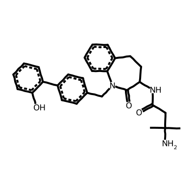 CC(C)(N)CC(=O)NC1CCc2ccccc2N(Cc2ccc(-c3ccccc3O)cc2)C1=O